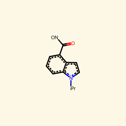 CC(C)n1ccc2c(C(=O)N=O)cccc21